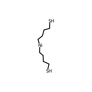 SCCC[CH2][Ni][CH2]CCCS